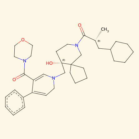 C[C@H](CC1CCCCC1)C(=O)N1CC[C@](O)(CN2C=C(C(=O)N3CCOCC3)C(c3ccccc3)=CC2)C2(CCCC2)C1